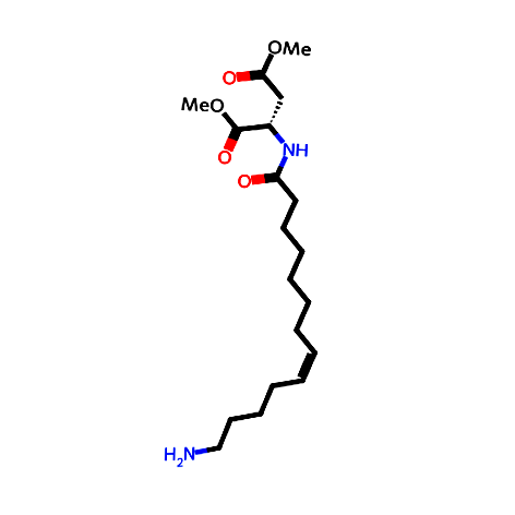 COC(=O)C[C@H](NC(=O)CCCCCC/C=C\CCCCN)C(=O)OC